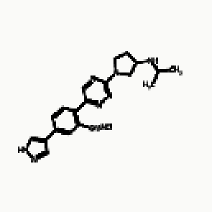 CC(C)NC1CCN(c2ncc(-c3ccc(-c4cn[nH]c4)cc3O)nn2)C1.Cl